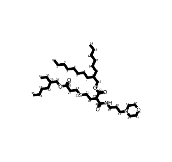 CCCCCCCCC(CCCCCC)COC(=O)C(CCSCCC(=O)OCC(CC)CCCC)C(=O)NCCCN1CCOCC1